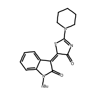 CCCCN1C(=O)C(=C2SC(N3CCCCC3)=NC2=O)c2ccccc21